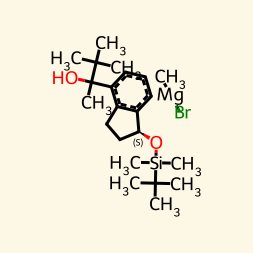 CC(C)(C)C(C)(O)c1cccc2c1CC[C@@H]2O[Si](C)(C)C(C)(C)C.[CH3][Mg][Br]